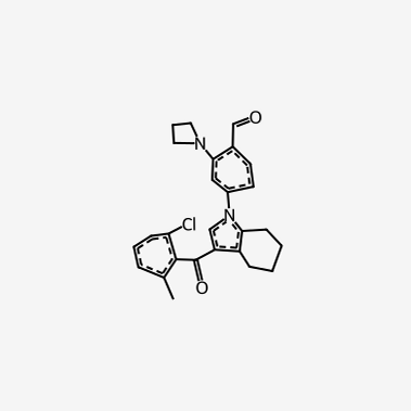 Cc1cccc(Cl)c1C(=O)c1cn(-c2ccc(C=O)c(N3CCC3)c2)c2c1CCCC2